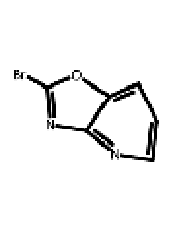 Brc1nc2ncccc2o1